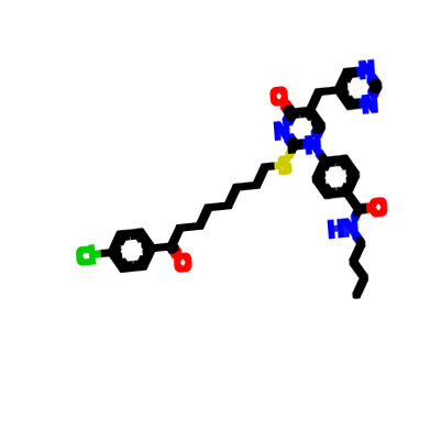 CCCCNC(=O)c1ccc(-n2cc(Cc3cncnc3)c(=O)nc2SCCCCCCCC(=O)c2ccc(Cl)cc2)cc1